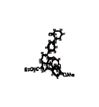 CCOC(=O)C1=NN(c2ccc(OC)cc2)C2(N3CCOCC3)C(=O)N(c3ccc(N4CCCCC4=O)cc3)CCC12